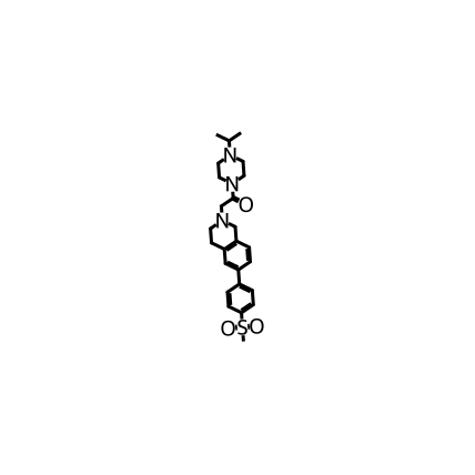 CC(C)N1CCN(C(=O)CN2CCc3cc(-c4ccc(S(C)(=O)=O)cc4)ccc3C2)CC1